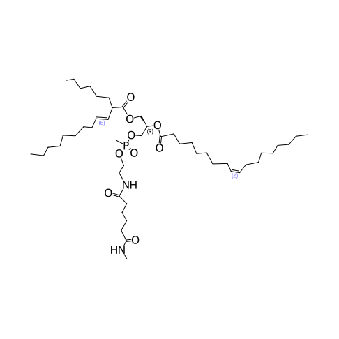 CCCCCCCC/C=C\CCCCCCCC(=O)O[C@H](COC(=O)C(/C=C/CCCCCCCC)CCCCCC)COP(C)(=O)OCCNC(=O)CCCCC(=O)NC